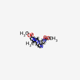 CCOC(=O)c1ccc2c(C)c(-c3cc4ccnc(C5CCN(C(=O)COC)CC5)c4n3CC3CC3)nn2c1